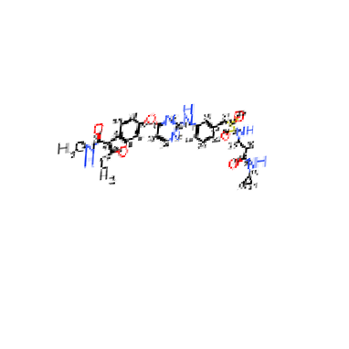 CNC(=O)c1c(C)oc2cc(Oc3ccnc(Nc4cccc(CS(=O)(=O)NCCC(=O)NC5CC5)c4)n3)ccc12